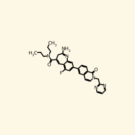 CCCN(CCC)C(=O)C1=Cc2c(F)cc(-c3ccc4c(=O)n(Cc5ncccn5)ccc4c3)cc2N=C(N)C1